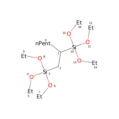 CCCCCC(C[Si](OCC)(OCC)OCC)[Si](OCC)(OCC)OCC